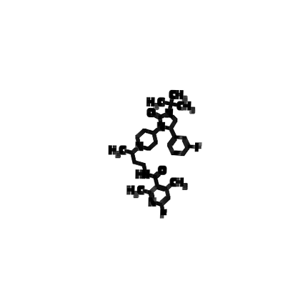 Cc1cc(F)nc(C)c1C(=O)NCCC(C)N1CCC(N2C(=O)N(C(C)(C)C)CC2c2cccc(F)c2)CC1